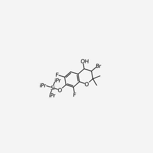 CC(C)[Si](Oc1c(F)cc2c(c1F)OC(C)(C)C(Br)C2O)(C(C)C)C(C)C